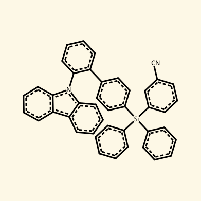 N#Cc1cccc([Si](c2ccccc2)(c2ccccc2)c2ccc(-c3ccccc3-n3c4ccccc4c4ccccc43)cc2)c1